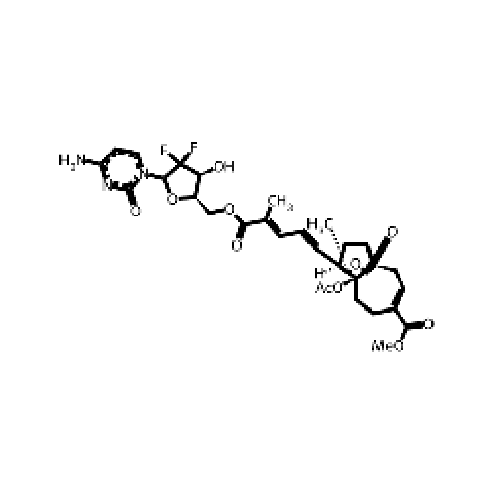 COC(=O)C1=CC[C@@]23CC[C@@H]([C@@](C)(/C=C/C=C(\C)C(=O)OC[C@H]4OC(n5ccc(N)nc5=O)C(F)(F)[C@H]4O)OC2=O)[C@@]3(OC(C)=O)CC1